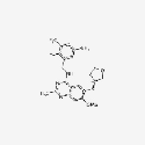 COc1cc2nc(C)nc(NCc3cc(N)cc(C(F)(F)F)c3F)c2cc1S[C@H]1CCOC1